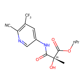 CCCOC(=O)[C@](C)(O)C(=O)Nc1cnc(C#N)c(C(F)(F)F)c1